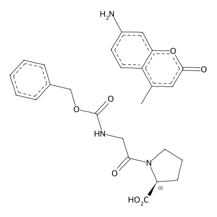 Cc1cc(=O)oc2cc(N)ccc12.O=C(NCC(=O)N1CCC[C@H]1C(=O)O)OCc1ccccc1